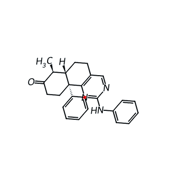 C[C@@H]1C(=O)CC[C@]2(c3ccccc3)c3nc(Nc4ccccc4)ncc3CC[C@@H]12